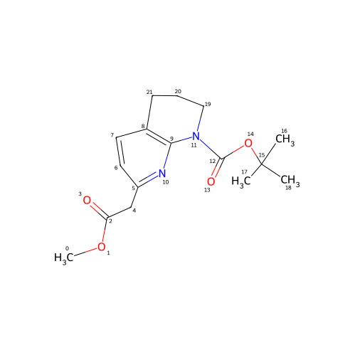 COC(=O)Cc1ccc2c(n1)N(C(=O)OC(C)(C)C)CCC2